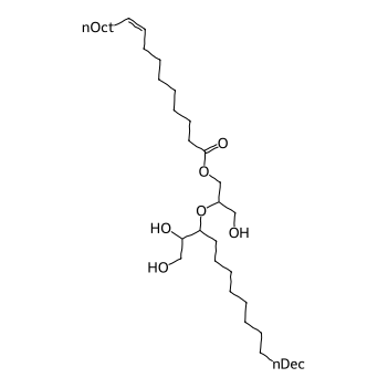 CCCCCCCC/C=C\CCCCCCCC(=O)OCC(CO)OC(CCCCCCCCCCCCCCCCCC)C(O)CO